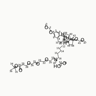 COCOc1ccc2c(c1)C[C@@H](CCCCCN(C)CCOCCOCCOCCC(=O)OC(C)(C)C)[C@@H]1[C@@H]2CC[C@]2(C)[C@@H](OCOC)CC[C@@H]12.O=CO